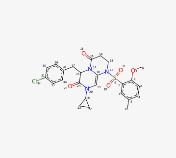 COc1ccc(C)cc1S(=O)(=O)N1CCC(=O)N2C1=CN(C1CC1)C(=O)C2Cc1ccc(Cl)cc1